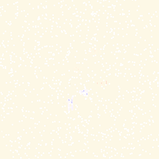 CCCCNC1=NC2C(O[C@H](CO)C[C@@H]2O)S1